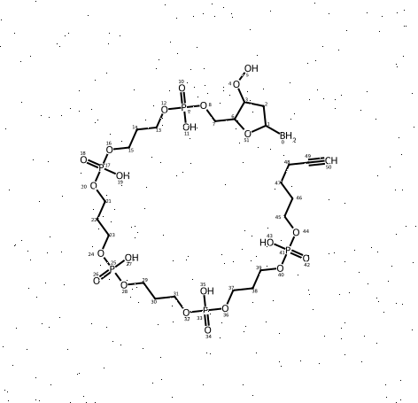 BC1CC(OO)C(COP(=O)(O)OCCCOP(=O)(O)OCCCOP(=O)(O)OCCCOP(=O)(O)OCCCOP(=O)(O)OCCCCC#C)O1